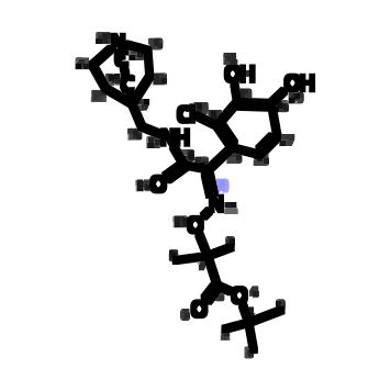 CC(C)(C)OC(=O)C(C)(C)O/N=C(\C(=O)NCC12CCN(CC1)CC2)c1ccc(O)c(O)c1Cl